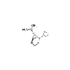 CN(N)N1c2ncnc(C3CCC3)c21